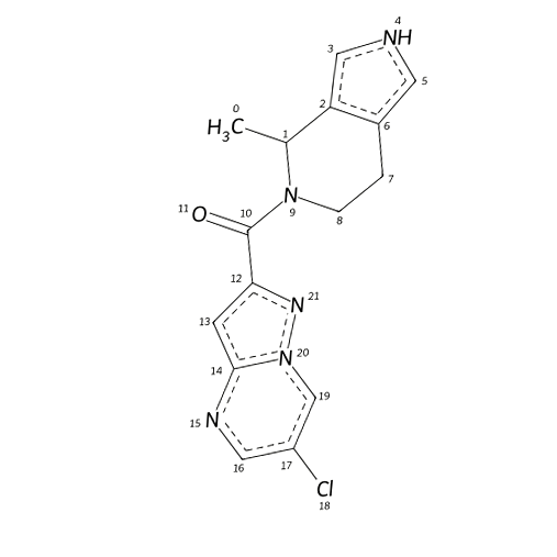 CC1c2c[nH]cc2CCN1C(=O)c1cc2ncc(Cl)cn2n1